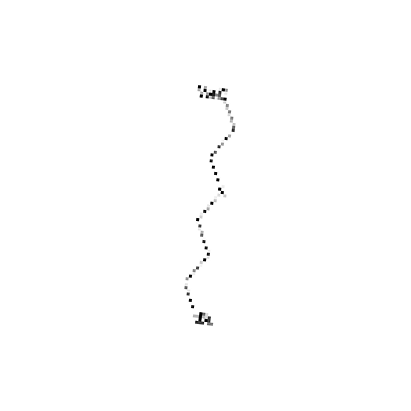 COCCSCCCC(C)(C)C